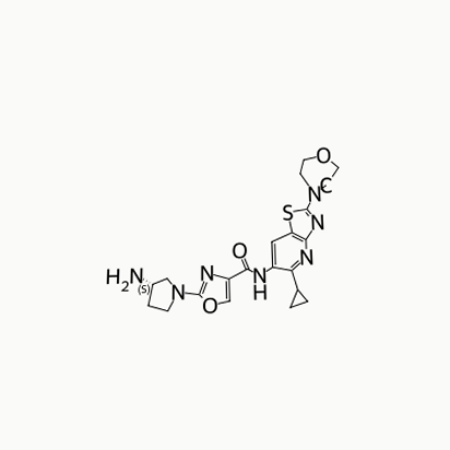 N[C@H]1CCN(c2nc(C(=O)Nc3cc4sc(N5CCOCC5)nc4nc3C3CC3)co2)C1